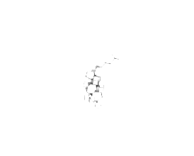 CC(C)CCC[C@@H](C)[C@H]1CC[C@H]2[C@@H]3[C@@H](C)C[C@H]4N(C)C(=O)CC[C@]4(C)[C@H]3CC[C@]12C